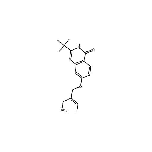 CC(C)(C)c1cc2cc(OCC(=CF)CN)ccc2c(=O)[nH]1